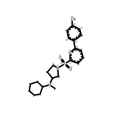 CN(C1CCCCC1)C1CCN(S(=O)(=O)c2cccc(-c3ccc(C#N)cc3)n2)C1